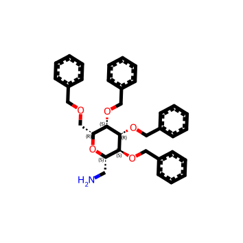 NC[C@@H]1O[C@H](COCc2ccccc2)[C@H](OCc2ccccc2)[C@H](OCc2ccccc2)[C@H]1OCc1ccccc1